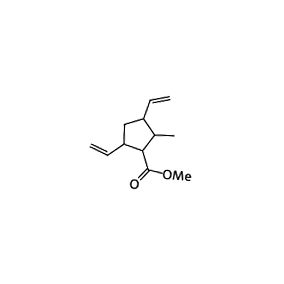 C=CC1CC(C=C)C(C(=O)OC)C1C